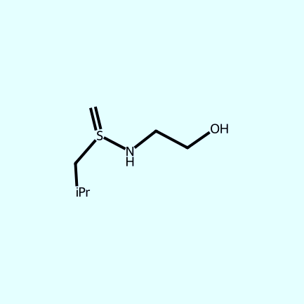 C=S(CC(C)C)NCCO